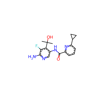 CC(C)(O)c1c(NC(=O)c2cccc(C3CC3)n2)cnc(N)c1F